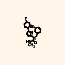 CNC(=O)[C@H](Cc1cccc(Br)c1)n1ccc(-c2ccc(F)cc2)n1